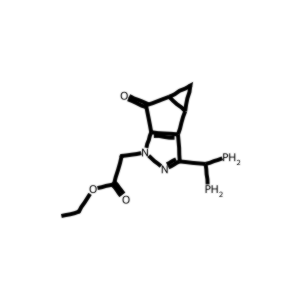 CCOC(=O)Cn1nc(C(P)P)c2c1C(=O)C1CC21